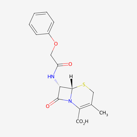 CC1=C(C(=O)O)N2C(=O)[C@H](NC(=O)COc3ccccc3)[C@@H]2SC1